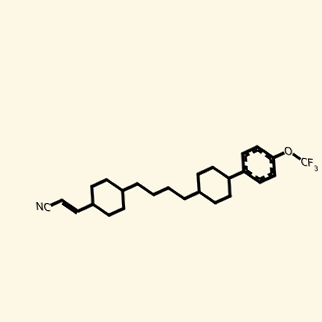 N#CC=CC1CCC(CCCCC2CCC(c3ccc(OC(F)(F)F)cc3)CC2)CC1